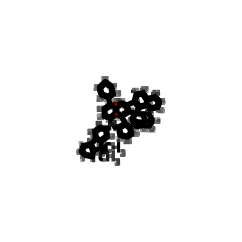 CC1(C)c2ccccc2-c2ccc(N(c3ccc(-c4ccccc4)cc3)c3ccccc3-c3cccc4c3C3(c5c-4ccc4ccccc54)C4CC5CC(C4)CC3C5)cc21